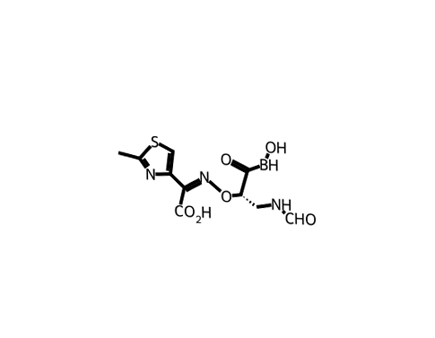 Cc1nc(/C(=N/O[C@@H](CNC=O)C(=O)BO)C(=O)O)cs1